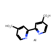 O=C(O)c1ccnc(-c2cc(C(=O)O)ccn2)c1.[Al]